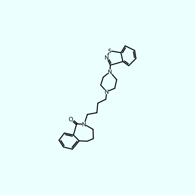 O=C1c2ccccc2CCCN1CCCCN1CCN(c2nsc3ccccc23)CC1